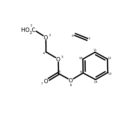 C=C.O=C(O)OCOC(=O)Oc1ccccc1